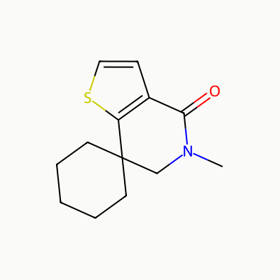 CN1CC2(CCCCC2)c2sccc2C1=O